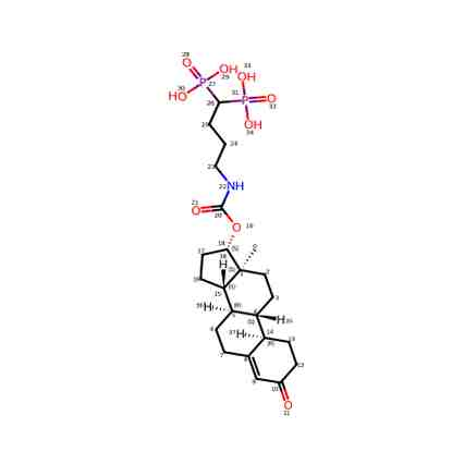 C[C@]12CC[C@H]3[C@@H](CCC4=CC(=O)CC[C@@H]43)[C@@H]1CC[C@@H]2OC(=O)NCCCC(P(=O)(O)O)P(=O)(O)O